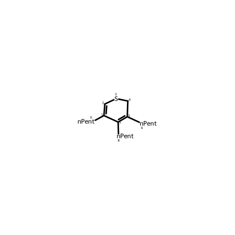 CCCCCC1=CSCC(CCCCC)=C1CCCCC